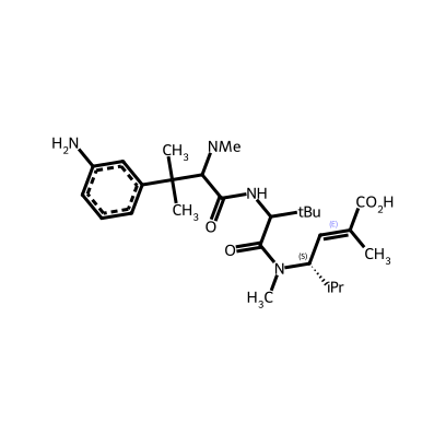 CNC(C(=O)NC(C(=O)N(C)[C@H](/C=C(\C)C(=O)O)C(C)C)C(C)(C)C)C(C)(C)c1cccc(N)c1